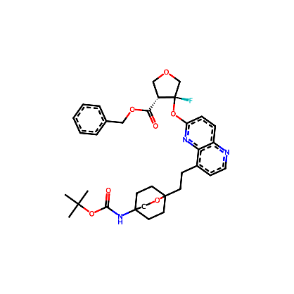 CC(C)(C)OC(=O)NC12CCC(CCc3ccnc4ccc(O[C@@]5(F)COC[C@H]5C(=O)OCc5ccccc5)nc34)(CC1)OC2